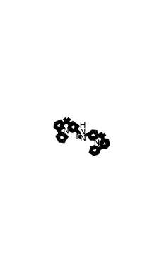 CC1(C)c2ccc(-c3nnc(-c4ccc5c(c4)-n4c6ccccc6c6cccc(c64)C5(C)C)[nH]3)cc2-n2c3ccccc3c3cccc1c32